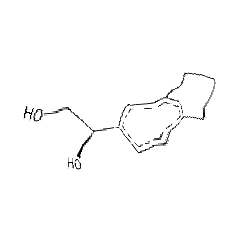 OC[C@H](O)c1ccc2c(c1)CCC2